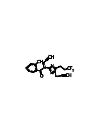 C#CCN(C(=O)c1ccccc1C)c1nc(CCC(F)(F)F)n(CC#C)n1